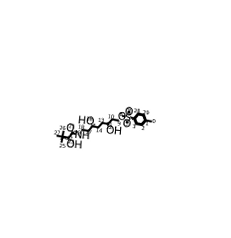 Cc1ccc(S(=O)(=O)OCCC(O)CCC(O)CCNC(=O)C(O)C(C)(C)C)cc1